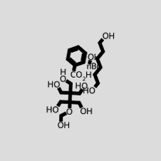 CCCCO.O=C(O)c1ccccc1.OCCCCCCO.OCOC(CO)(CO)C(CO)(CO)CO